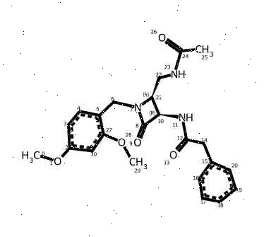 COc1ccc(CN2C(=O)[C@H](NC(=O)Cc3ccccc3)[C@@H]2CNC(C)=O)c(OC)c1